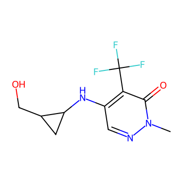 Cn1ncc(NC2CC2CO)c(C(F)(F)F)c1=O